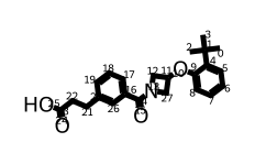 CC(C)(C)c1ccccc1OC1CN(C(=O)c2cccc(CCC(=O)O)c2)C1